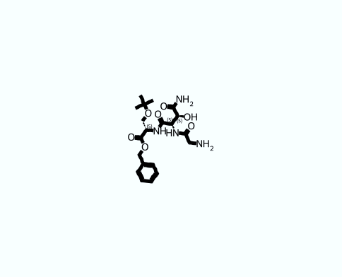 CC(C)(C)OC[C@H](NC(=O)[C@@H](NC(=O)CN)[C@H](O)C(N)=O)C(=O)OCc1ccccc1